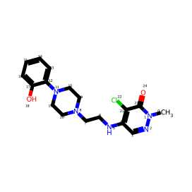 Cn1ncc(NCCN2CCN(c3ccccc3O)CC2)c(Cl)c1=O